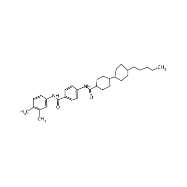 CCCCCC1CCC(C2CCC(C(=O)Nc3ccc(C(=O)Nc4ccc(C)c(C)c4)cc3)CC2)CC1